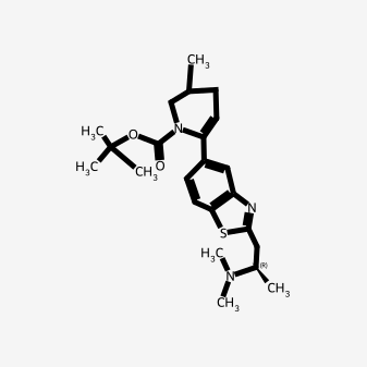 CC1CC=C(c2ccc3sc(C[C@@H](C)N(C)C)nc3c2)N(C(=O)OC(C)(C)C)C1